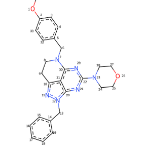 COc1ccc(CN2CCc3nn(Cc4ccccc4)c4nc(N5CCOCC5)nc2c34)cc1